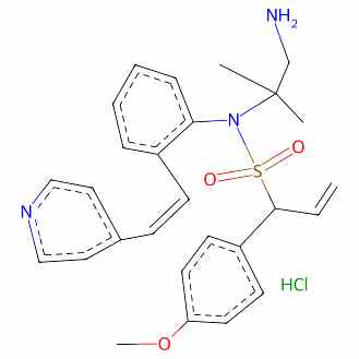 C=CC(c1ccc(OC)cc1)S(=O)(=O)N(c1ccccc1C=Cc1ccncc1)C(C)(C)CN.Cl